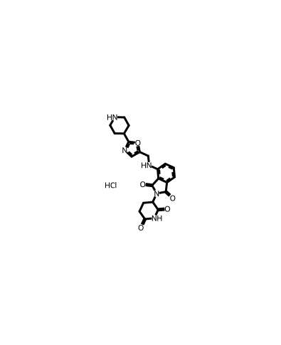 Cl.O=C1CCC(N2C(=O)c3cccc(NCc4cnc(C5CCNCC5)o4)c3C2=O)C(=O)N1